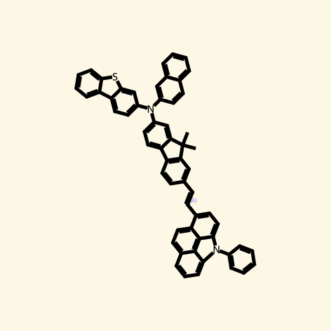 CC1(C)c2cc(/C=C/c3ccc4c5c3ccc3cccc(c35)n4-c3ccccc3)ccc2-c2ccc(N(c3ccc4ccccc4c3)c3ccc4c(c3)sc3ccccc34)cc21